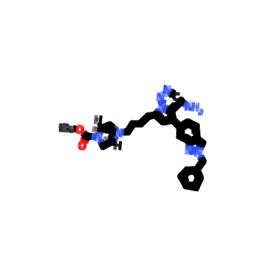 CC(C)(C)OC(=O)N1C[C@@H]2C[C@H]1CN2CCCCc1cc(-c2ccc3cn(Cc4ccccc4)nc3c2)c2c(N)cnnn12